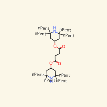 CCCCCC1(CCCCC)CC(OC(=O)CCC(=O)OC2CC(CCCCC)(CCCCC)NC(CCCCC)(CCCCC)C2)CC(CCCCC)(CCCCC)N1